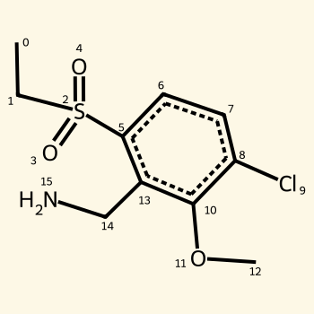 CCS(=O)(=O)c1ccc(Cl)c(OC)c1CN